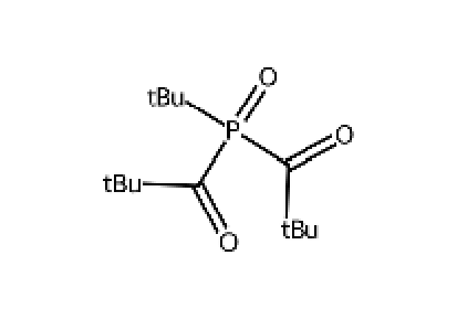 CC(C)(C)C(=O)P(=O)(C(=O)C(C)(C)C)C(C)(C)C